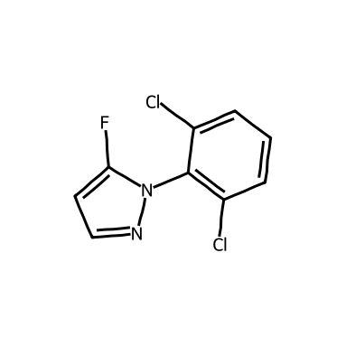 Fc1ccnn1-c1c(Cl)cccc1Cl